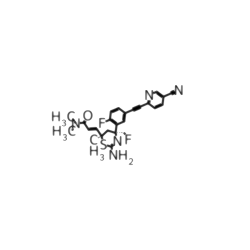 CN(C)C(=O)/C=C/[C@@]1(C)C[C@@](CF)(c2cc(C#Cc3ccc(C#N)cn3)ccc2F)N=C(N)S1